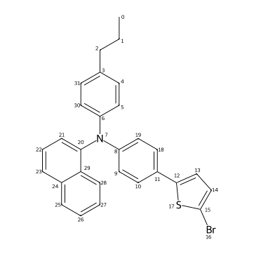 CCCc1ccc(N(c2ccc(-c3ccc(Br)s3)cc2)c2cccc3ccccc23)cc1